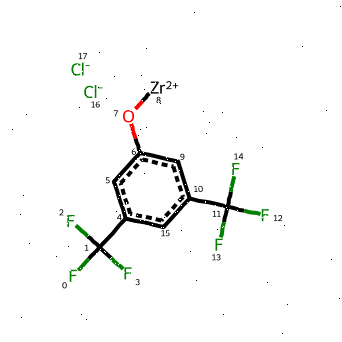 FC(F)(F)c1cc([O][Zr+2])cc(C(F)(F)F)c1.[Cl-].[Cl-]